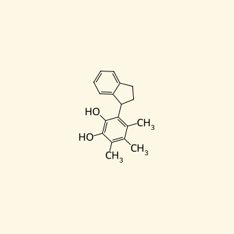 Cc1c(C)c(O)c(O)c(C2CCc3ccccc32)c1C